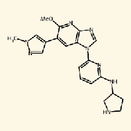 COc1nc2ncn(-c3cccc(NC4CCNC4)n3)c2cc1-c1cnn(C)c1